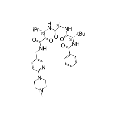 CC(C)[C@H](NC(=O)[C@H](C)NC(=O)[C@@H](NC(=O)c1ccccc1)C(C)(C)C)C(=O)C(=O)NCc1ccc(N2CCN(C)CC2)nc1